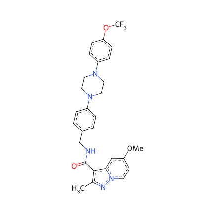 COc1ccn2nc(C)c(C(=O)NCc3ccc(N4CCN(c5ccc(OC(F)(F)F)cc5)CC4)cc3)c2c1